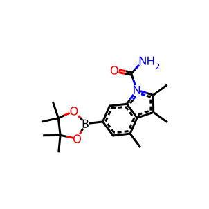 Cc1cc(B2OC(C)(C)C(C)(C)O2)cc2c1c(C)c(C)n2C(N)=O